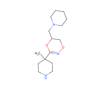 CC1(C2=NOCC(CN3CCCCC3)O2)CCNCC1